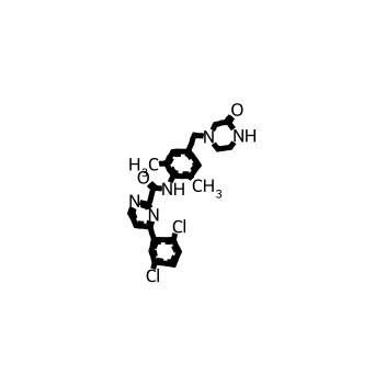 Cc1cc(CN2CCNC(=O)C2)cc(C)c1NC(=O)c1nccc(-c2cc(Cl)ccc2Cl)n1